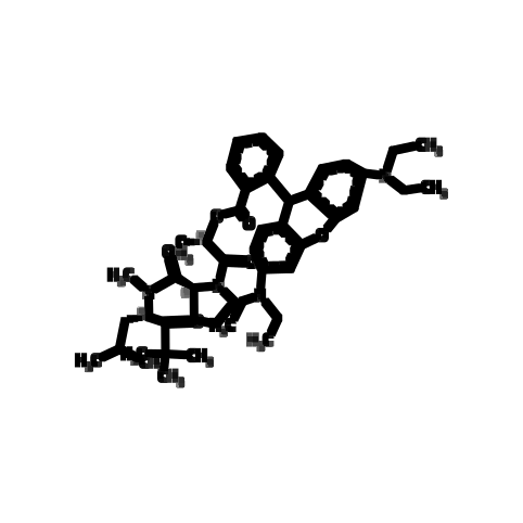 CCN(CC)c1ccc2c(c1)Oc1cc(N(CC)CC)ccc1C2c1ccccc1C(=O)O[C@@H](C)C(=O)N1CCC[C@H]1C(=O)N(C)[C@@H](CC(C)C)C(=O)C(C)(C)C